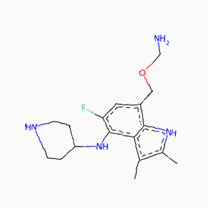 Cc1[nH]c2c(COCN)cc(F)c(NC3CCNCC3)c2c1C